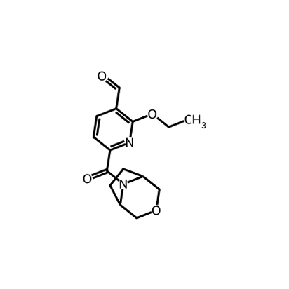 CCOc1nc(C(=O)N2C3CCC2COC3)ccc1C=O